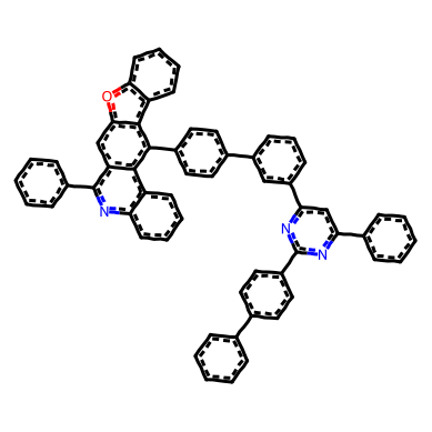 c1ccc(-c2ccc(-c3nc(-c4ccccc4)cc(-c4cccc(-c5ccc(-c6c7c(cc8c(-c9ccccc9)nc9ccccc9c68)oc6ccccc67)cc5)c4)n3)cc2)cc1